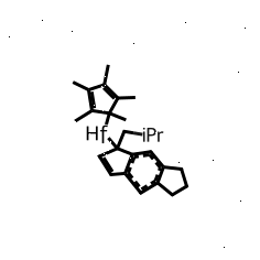 CC1=C(C)[C](C)([Hf][C]2(CC(C)C)C=Cc3cc4c(cc32)CCC4)C(C)=C1C